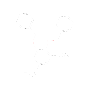 COc1cc(C(=O)O)cc(OCc2ccccc2)c1OCc1ccccc1